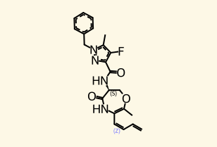 C=C/C=C\C1=C(C)OC[C@H](NC(=O)c2nn(Cc3ccccc3)c(C)c2F)C(=O)N1